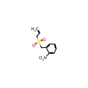 C=CCS(=O)(=O)Cc1ccccc1[N+](=O)[O-]